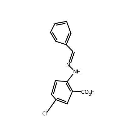 O=C(O)c1cc(Cl)ccc1NN=Cc1ccccc1